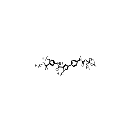 COC(=O)c1cc(NC(=O)c2cc(-c3ccc(NC(=O)OC(C)(C)C)cc3)cn2C)cn1C